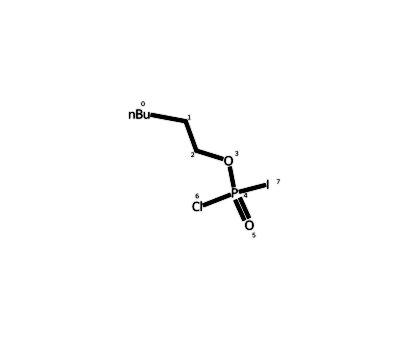 CCCCCCOP(=O)(Cl)I